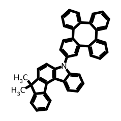 CC1(C)c2ccccc2-c2c1ccc1c2c2ccccc2n1-c1ccc2c(c1)-c1ccccc1-c1ccccc1-c1ccccc1-2